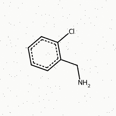 NCc1cc[c]cc1Cl